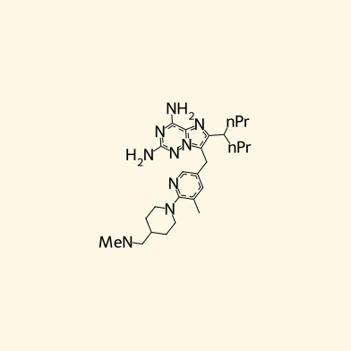 CCCC(CCC)c1nc2c(N)nc(N)nn2c1Cc1cnc(N2CCC(CNC)CC2)c(C)c1